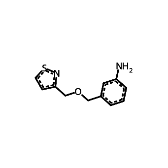 Nc1cccc(COCc2ccsn2)c1